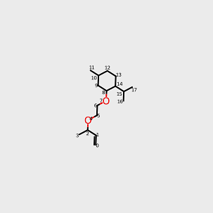 C=CC(C)OCCOC1CC(C)CCC1C(C)C